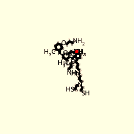 CC1CC[C@@H](OCCCN)CC1C[C@H](C[C@@H](C)C[C@H](OCCCN)C1(C)C(C)CCC1[C@H](C)CCCNCCCN(CCS)CCS)OCCCN